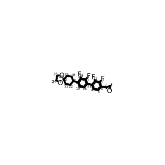 Fc1c(-c2ccc(C3CO3)c(F)c2F)ccc(C2CCC3(CC2)OCCO3)c1F